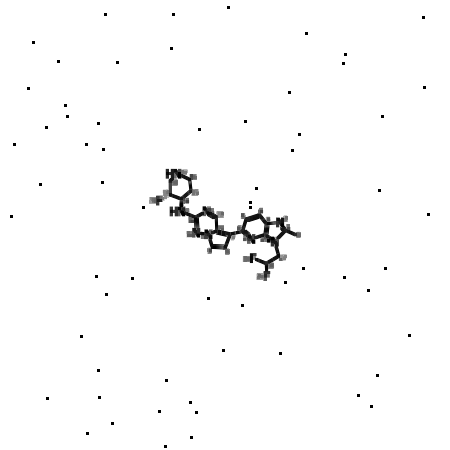 Cc1nc2ccc(-c3ccn4nc(N[C@@H]5CCNC[C@H]5F)ncc34)nc2n1CC(F)F